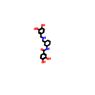 O=C(NC1CCCC(CNCc2ccc(O)c(O)c2)C1)c1ccc(O)c(O)c1